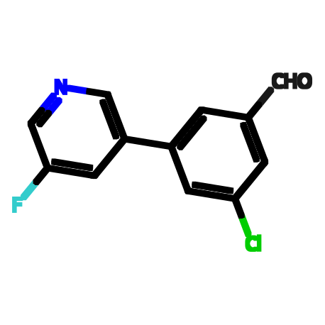 O=Cc1cc(Cl)cc(-c2cncc(F)c2)c1